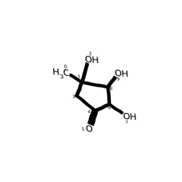 CC1(O)CC(=O)C(O)C1O